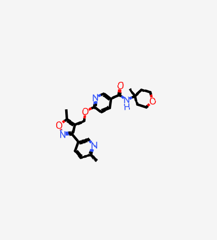 Cc1ccc(-c2noc(C)c2COc2ccc(C(=O)NC3(C)CCOCC3)cn2)cn1